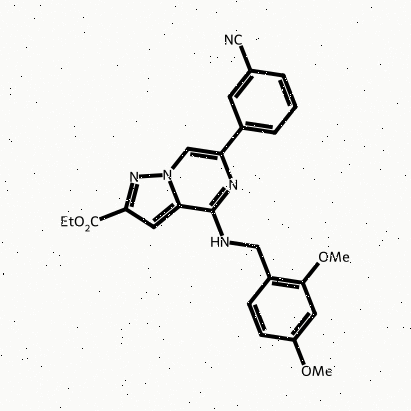 CCOC(=O)c1cc2c(NCc3ccc(OC)cc3OC)nc(-c3cccc(C#N)c3)cn2n1